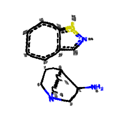 NC1CN2CCC1CC2.c1ccc2sncc2c1